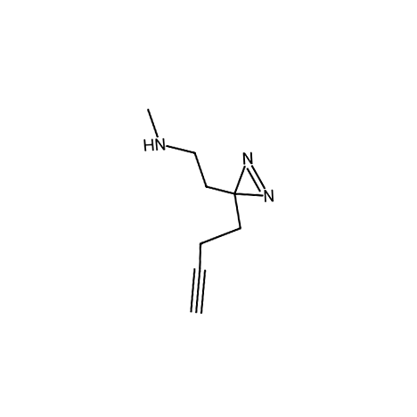 C#CCCC1(CCNC)N=N1